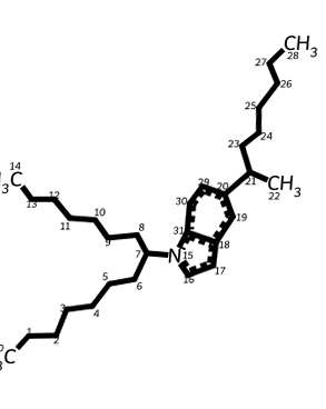 CCCCCCCC(CCCCCCC)n1ccc2cc(C(C)CCCCCC)ccc21